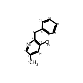 Cc1cnc(Cc2ccccc2)c(Cl)c1